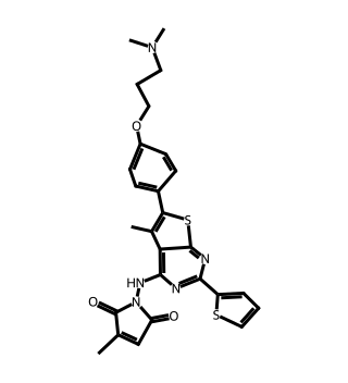 CC1=CC(=O)N(Nc2nc(-c3cccs3)nc3sc(-c4ccc(OCCCN(C)C)cc4)c(C)c23)C1=O